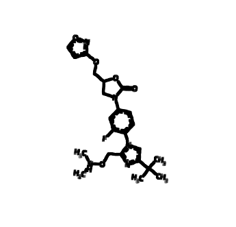 C[SiH](C)OCc1nc(C(C)(C)C)cn1-c1ccc(N2CC(COc3ccon3)OC2=O)cc1F